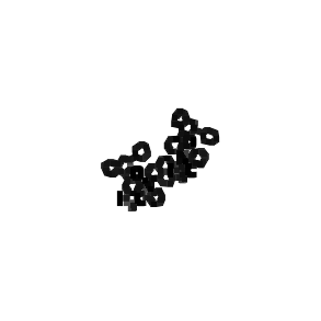 Cc1ccccc1N(c1cccc2c1OC1C(C3CCCCC3)=Cc3ccccc3C21)c1ccc2ccc3c(N(c4ccccc4C)c4cccc5c4oc4c(C6CCCCC6)cc6ccccc6c45)ccc4ccc1c2c43